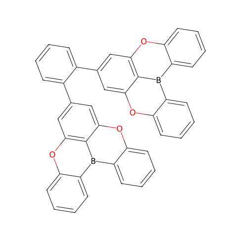 c1ccc2c(c1)Oc1cc(-c3ccccc3-c3cc4c5c(c3)Oc3ccccc3B5c3ccccc3O4)cc3c1B2c1ccccc1O3